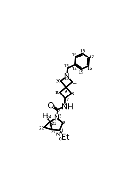 CC[C@@H]1CN(C(=O)NC2CC3(C2)CN(Cc2ccccc2)C3)[C@H]2CC12